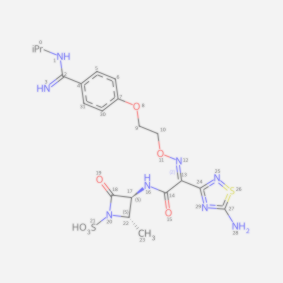 CC(C)NC(=N)c1ccc(OCCO/N=C(\C(=O)N[C@@H]2C(=O)N(S(=O)(=O)O)[C@H]2C)c2nsc(N)n2)cc1